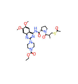 CCOC(=O)N1CCN(c2nc(NC(=O)[C@@H]3CCCN3C(=O)C(C)CSC(C)=O)c3cc(OC)c(OC)cc3n2)CC1